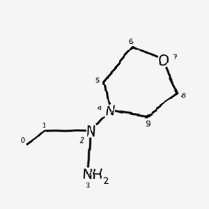 CCN(N)N1CCOCC1